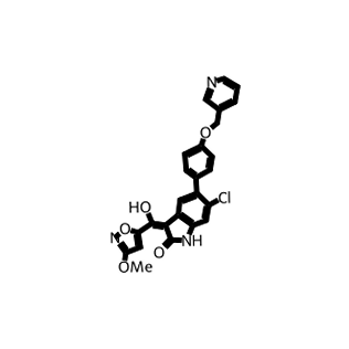 COc1cc(C(O)=C2C(=O)Nc3cc(Cl)c(-c4ccc(OCc5cccnc5)cc4)cc32)on1